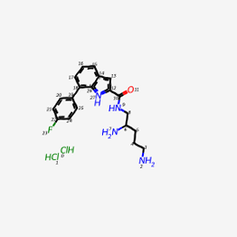 Cl.Cl.NCCCC(N)CNC(=O)c1cc2cccc(-c3ccc(F)cc3)c2[nH]1